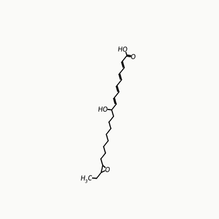 CCC1OC1CCCCCCCCC(O)/C=C/C=C/C=C/C=C/C(=O)O